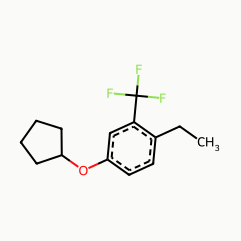 CCc1ccc(OC2CCCC2)cc1C(F)(F)F